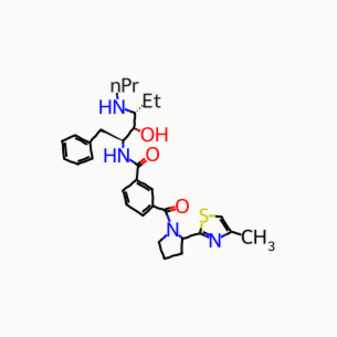 CCCN[C@H](CC)[C@@H](O)[C@H](Cc1ccccc1)NC(=O)c1cccc(C(=O)N2CCCC2c2nc(C)cs2)c1